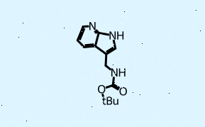 CC(C)(C)OC(=O)NCc1c[nH]c2ncccc12